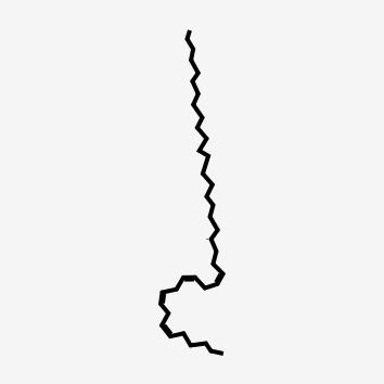 CCCCC/C=C\C/C=C\C/C=C\C/C=C\CC[CH]CCCCCCCCCCCCCCCCCCC